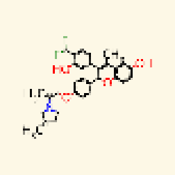 CC1=C(c2ccc(C(F)F)c(O)c2)C(c2ccc(OC[C@H](C)N3CC[C@@H](C)C3)cc2)Oc2ccc(O)cc21